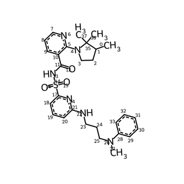 CC1CCN(c2ncccc2C(=O)NS(=O)(=O)c2cccc(NCCCN(C)c3ccccc3)n2)C1(C)C